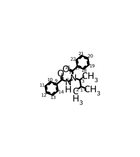 CC(C)C(C)N(NC(=O)c1ccccc1)C(=O)c1ccccc1